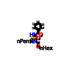 CCCCCCOCNP(=O)(NC(=O)c1ccccc1)SCCCCC